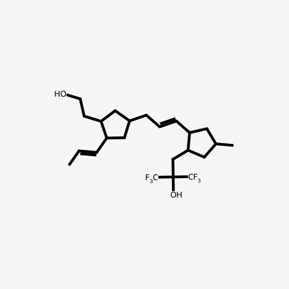 CC=CC1CC(CC=CC2CC(C)CC2CC(O)(C(F)(F)F)C(F)(F)F)CC1CCO